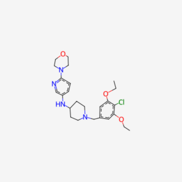 CCOc1cc(CN2CCC(Nc3ccc(N4CCOCC4)nc3)CC2)cc(OCC)c1Cl